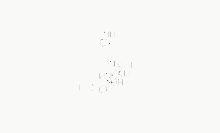 COc1cccc(Cl)c1C1(C(=O)N[C@@H](CCN(CCCCc2ccc3c(n2)NCCC3)C[C@@H](C)OC)C(=O)O)CC1